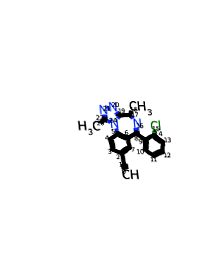 C#Cc1ccc2c(c1)C(c1ccccc1Cl)=NC(C)c1nnc(C)n1-2